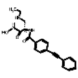 CCNC[C@H](NC(=O)c1ccc(C#Cc2ccccc2)cc1)C(=O)NO